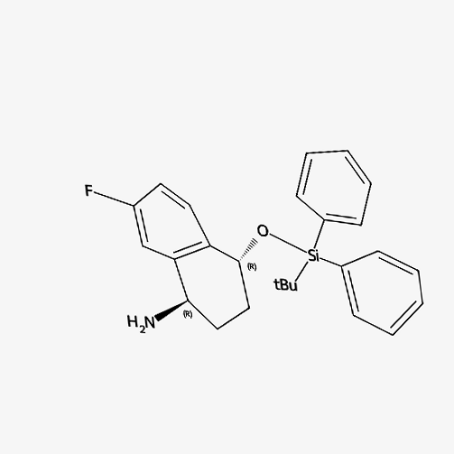 CC(C)(C)[Si](O[C@@H]1CC[C@@H](N)c2cc(F)ccc21)(c1ccccc1)c1ccccc1